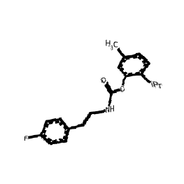 Cc1ccc(C(C)C)c(OC(=O)NCCc2ccc(F)cc2)c1